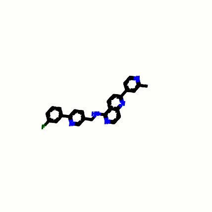 Cc1cc(-c2ccc3c(NCc4ccc(-c5cccc(F)c5)nc4)nccc3n2)ccn1